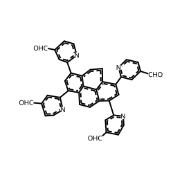 O=Cc1ccnc(-c2cc(-c3cc(C=O)ccn3)c3ccc4c(-c5cc(C=O)ccn5)cc(-c5cc(C=O)ccn5)c5ccc2c3c54)c1